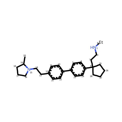 CCNCCC1(c2ccc(-c3ccc(CCN4CCCC4C)cc3)cc2)CCCC1